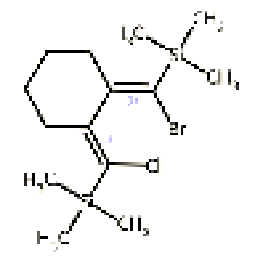 C[Si](C)(C)/C(Cl)=C1\CCCC\C1=C(\Br)[Si](C)(C)C